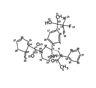 CC(=O)N(C[C@@]1(c2ccc(C(C)(O)C(F)(F)F)cc2)CN(S(=O)(=O)C2=CC=CCC2=S)CCN1)c1ccccc1